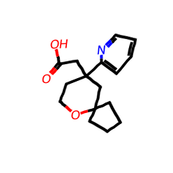 O=C(O)CC1(c2ccccn2)CCOC2(CCCC2)C1